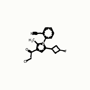 Cc1c(C(=O)CCl)cc(C2CC(F)C2)n1-c1ccccc1C#N